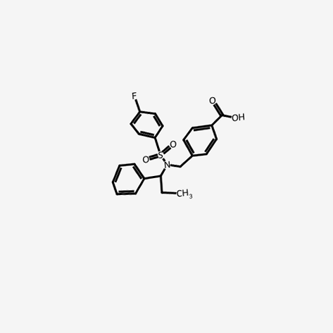 CCC(c1ccccc1)N(Cc1ccc(C(=O)O)cc1)S(=O)(=O)c1ccc(F)cc1